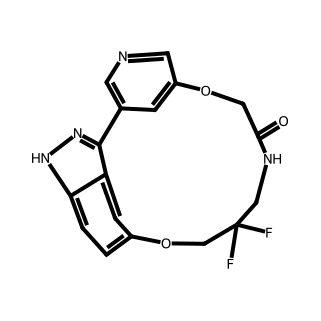 O=C1COc2cncc(c2)-c2n[nH]c3ccc(cc23)OCC(F)(F)CN1